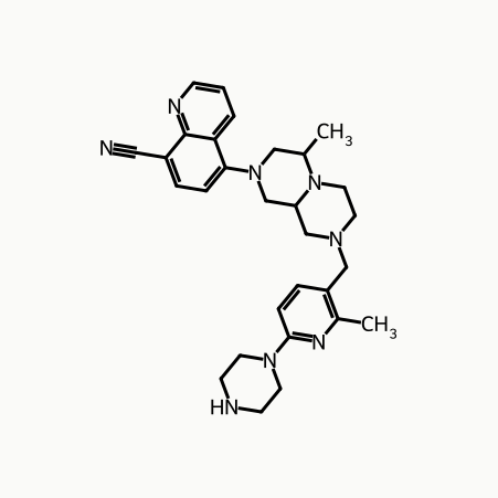 Cc1nc(N2CCNCC2)ccc1CN1CCN2C(C)CN(c3ccc(C#N)c4ncccc34)CC2C1